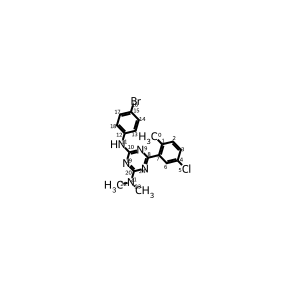 Cc1ccc(Cl)cc1-c1nc(Nc2ccc(Br)cc2)nc(N(C)C)n1